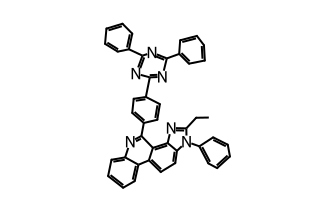 CCc1nc2c3c(-c4ccc(-c5nc(-c6ccccc6)nc(-c6ccccc6)n5)cc4)nc4ccccc4c3ccc2n1-c1ccccc1